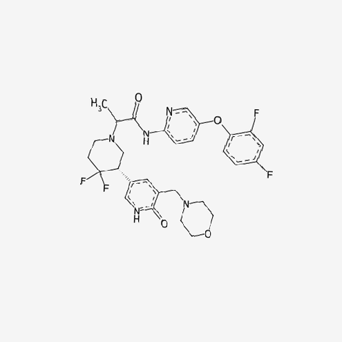 CC(C(=O)Nc1ccc(Oc2ccc(F)cc2F)cn1)N1CCC(F)(F)[C@@H](c2c[nH]c(=O)c(CN3CCOCC3)c2)C1